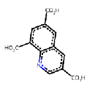 O=C(O)c1cnc2c(C(=O)O)cc(C(=O)O)cc2c1